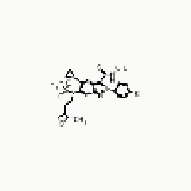 CNC(=O)c1c2cc(C3CC3)c(N(CCC3CO[C@H]3C)S(C)(=O)=O)cc2nn1-c1ccc(Cl)cc1